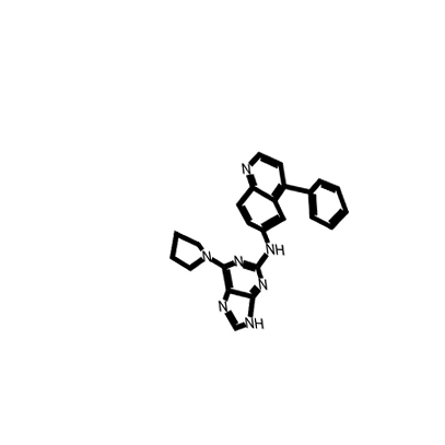 c1ccc(-c2ccnc3ccc(Nc4nc(N5CCCC5)c5nc[nH]c5n4)cc23)cc1